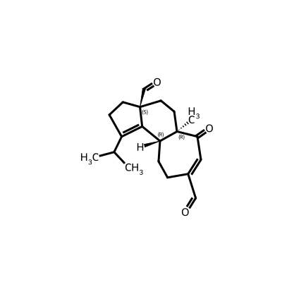 CC(C)C1=C2[C@H]3CCC(C=O)=CC(=O)[C@]3(C)CC[C@@]2(C=O)CC1